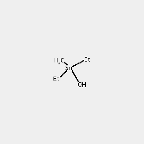 C[CH2][Sn]([CH3])([OH])[CH2]C